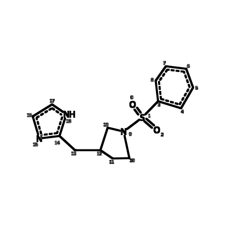 O=S(=O)(c1ccccc1)N1CCC(Cc2ncc[nH]2)C1